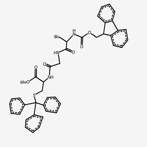 CCC(C)C(NC(=O)OCC1c2ccccc2-c2ccccc21)C(=O)NCC(=O)NC(CSC(c1ccccc1)(c1ccccc1)c1ccccc1)C(=O)OC